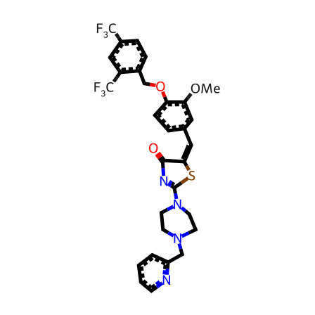 COc1cc(C=C2SC(N3CCN(Cc4ccccn4)CC3)=NC2=O)ccc1OCc1ccc(C(F)(F)F)cc1C(F)(F)F